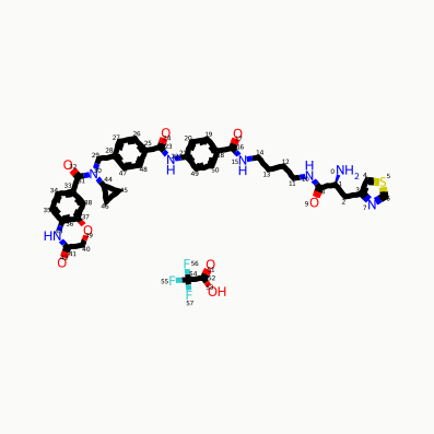 N[C@@H](Cc1cscn1)C(=O)NCCCCNC(=O)c1ccc(NC(=O)c2ccc(CN(C(=O)c3ccc4c(c3)OCC(=O)N4)C3CC3)cc2)cc1.O=C(O)C(F)(F)F